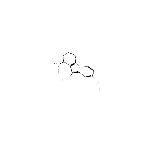 CNC1CCCc2c1c(C)c1cc(OC)ccn21